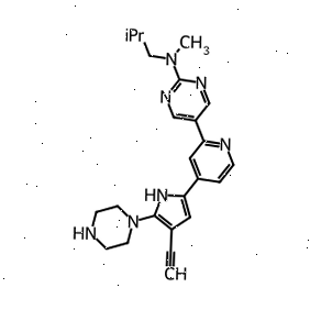 C#Cc1cc(-c2ccnc(-c3cnc(N(C)CC(C)C)nc3)c2)[nH]c1N1CCNCC1